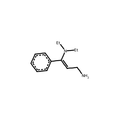 CCN(CC)C(=CCN)c1ccccc1